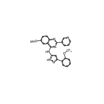 COc1ccc2nc(-c3cccnc3)nc(Nc3cc(-c4ccccc4OC(F)(F)F)n[nH]3)c2c1